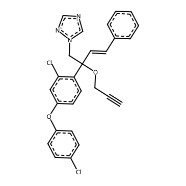 C#CCOC(C=Cc1ccccc1)(Cn1cncn1)c1ccc(Oc2ccc(Cl)cc2)cc1Cl